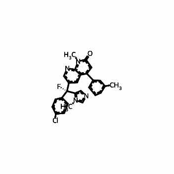 Cc1cccc(-c2cc(=O)n(C)c3ncc([C@](F)(c4ccc(Cl)cc4)c4cncn4C)cc23)c1